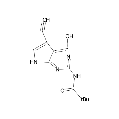 C#Cc1c[nH]c2nc(NC(=O)C(C)(C)C)nc(O)c12